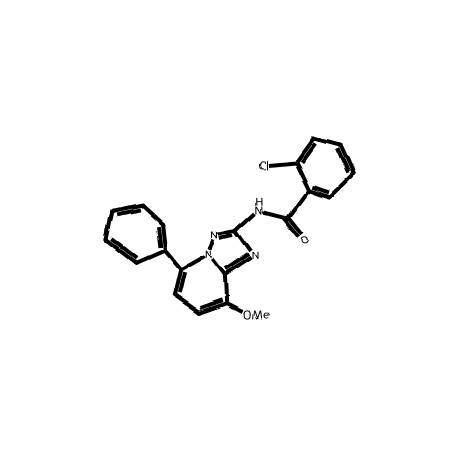 COc1ccc(-c2ccccc2)n2nc(NC(=O)c3ccccc3Cl)nc12